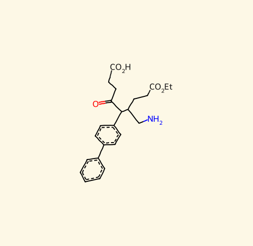 CCOC(=O)CCC(CN)C(C(=O)CCC(=O)O)c1ccc(-c2ccccc2)cc1